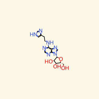 OC[C@H]1O[C@@H](n2cnc3c(NCCc4c[nH]cn4)ncnc32)[C@@H](O)C1O